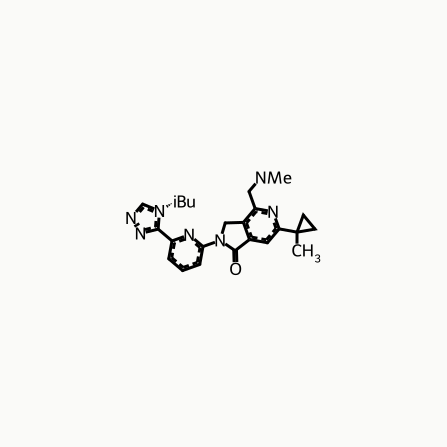 CC[C@@H](C)n1cnnc1-c1cccc(N2Cc3c(cc(C4(C)CC4)nc3CNC)C2=O)n1